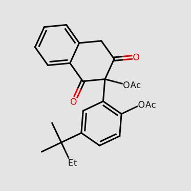 CCC(C)(C)c1ccc(OC(C)=O)c(C2(OC(C)=O)C(=O)Cc3ccccc3C2=O)c1